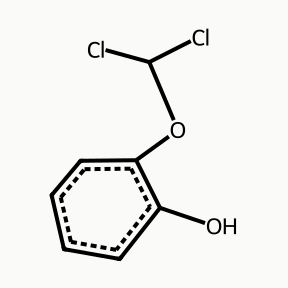 Oc1ccccc1OC(Cl)Cl